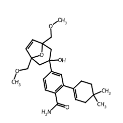 COCC12C=CC(COC)(CC(O)(c3ccc(C(N)=O)c(C4=CCC(C)(C)CC4)c3)C1)O2